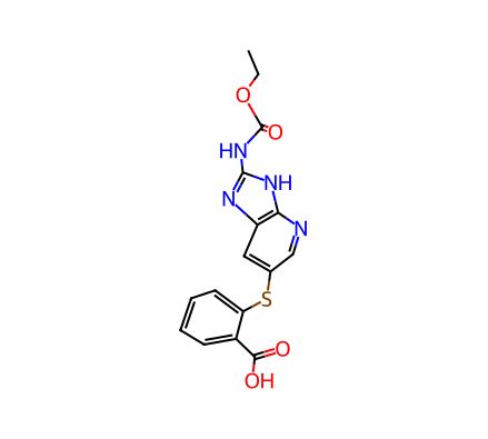 CCOC(=O)Nc1nc2cc(Sc3ccccc3C(=O)O)cnc2[nH]1